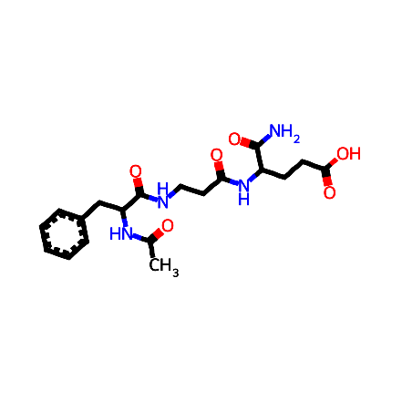 CC(=O)NC(Cc1ccccc1)C(=O)NCCC(=O)NC(CCC(=O)O)C(N)=O